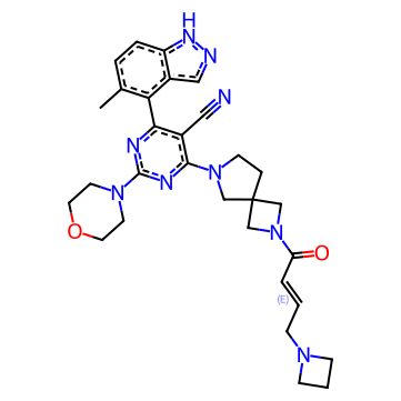 Cc1ccc2[nH]ncc2c1-c1nc(N2CCOCC2)nc(N2CCC3(CN(C(=O)/C=C/CN4CCC4)C3)C2)c1C#N